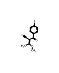 CO/C(C)=C(/C#N)C(=O)c1ccc(F)cc1